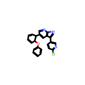 Clc1ccc(-c2c[nH]c3ncc(C4C=CC=CC4Oc4ccccc4)cc23)cn1